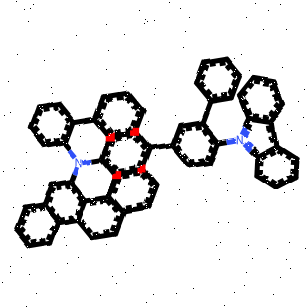 c1ccc(-c2ccccc2N(c2ccc(-c3ccc(-n4c5ccccc5c5ccccc54)c(-c4ccccc4)c3)cc2)c2cc3ccccc3c3ccc4ccccc4c23)cc1